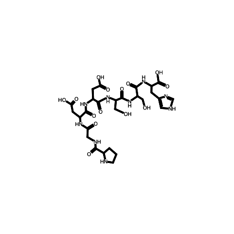 O=C(O)CC(NC(=O)CNC(=O)C1CCCN1)C(=O)NC(CC(=O)O)C(=O)NC(CO)C(=O)NC(CO)C(=O)NC(Cc1c[nH]cn1)C(=O)O